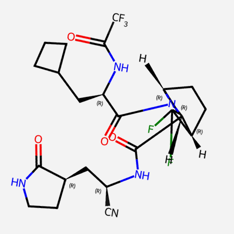 N#C[C@@H](C[C@H]1CCNC1=O)NC(=O)[C@H]1[C@H]2CC[C@H](CC2(F)F)N1C(=O)[C@@H](CC1CCC1)NC(=O)C(F)(F)F